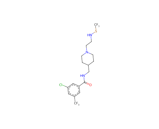 O=C(NCC1CCN(CCNSC(F)(F)F)CC1)c1cc(Cl)cc(C(F)(F)F)c1